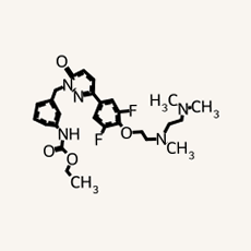 CCOC(=O)Nc1cccc(Cn2nc(-c3cc(F)c(OCCN(C)CCN(C)C)c(F)c3)ccc2=O)c1